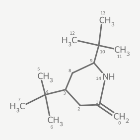 C=C1CC(C(C)(C)C)CC(C(C)(C)C)N1